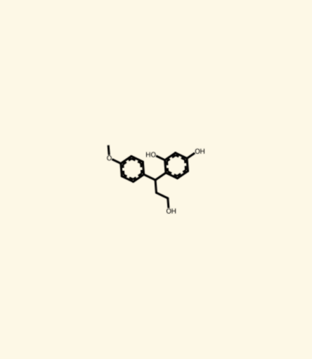 COc1ccc(C(CCO)c2ccc(O)cc2O)cc1